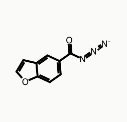 [N-]=[N+]=NC(=O)c1ccc2occc2c1